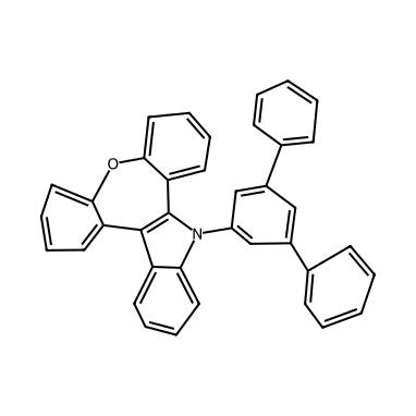 c1ccc(-c2cc(-c3ccccc3)cc(-n3c4c(c5ccccc53)-c3ccccc3Oc3ccccc3-4)c2)cc1